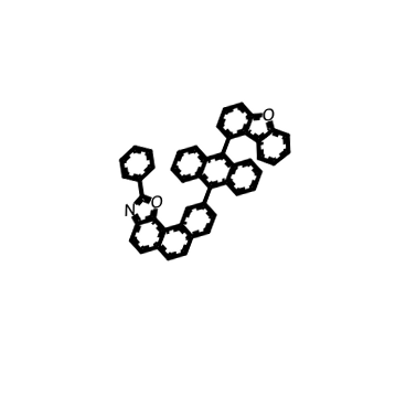 c1ccc(-c2nc3ccc4ccc5ccc(-c6c7ccccc7c(-c7cccc8oc9ccccc9c78)c7ccccc67)cc5c4c3o2)cc1